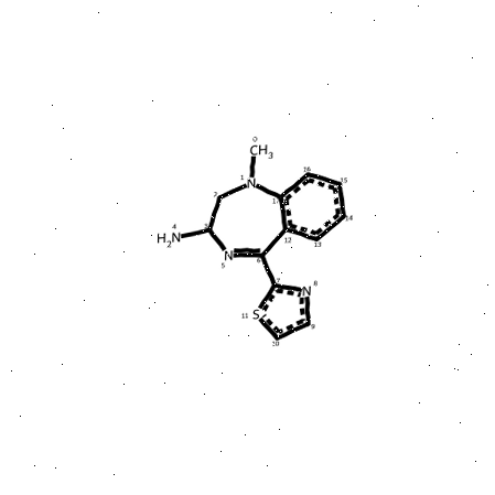 CN1CC(N)N=C(c2nccs2)c2ccccc21